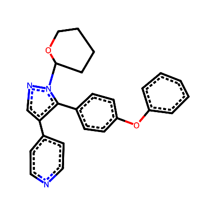 c1ccc(Oc2ccc(-c3c(-c4ccncc4)cnn3C3CCCCO3)cc2)cc1